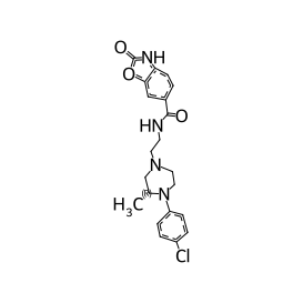 C[C@@H]1CN(CCNC(=O)c2ccc3[nH]c(=O)oc3c2)CCN1c1ccc(Cl)cc1